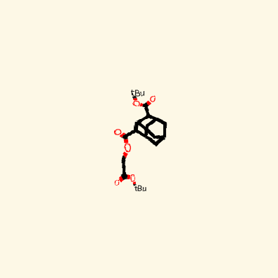 CC(C)(C)OC(=O)COC(=O)C1C2CC3CC(C2)C(C(=O)OC(C)(C)C)C1C3